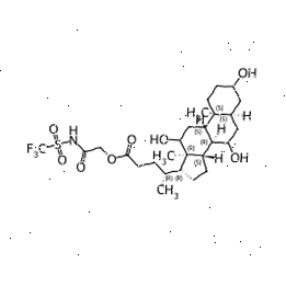 C[C@H](CCC(=O)OCC(=O)NS(=O)(=O)C(F)(F)F)[C@H]1CC[C@H]2[C@@H]3C(O)C[C@@H]4CC(O)CC[C@]4(C)[C@H]3CC(O)[C@]12C